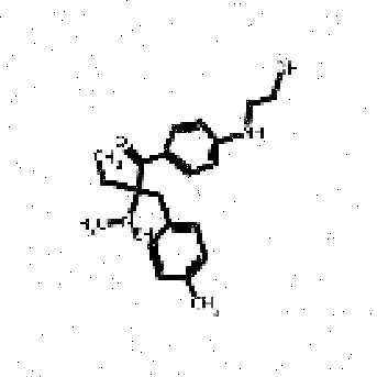 CCC(Cc1ccc(C)cc1)(C(=O)c1ccc(NCCO)cc1)N(C)C